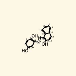 Oc1ccc(O)c(N=Nc2c(O)ccc3ccccc23)c1